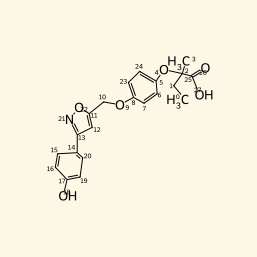 CCC(C)(Oc1ccc(OCc2cc(-c3ccc(O)cc3)no2)cc1)C(=O)O